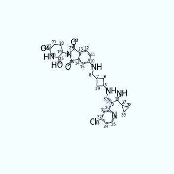 N=C(/C(=C\NC1CC(CNc2ccc3c(c2)C(=O)N(C2CCC(=O)NC2O)C3=O)C1)c1cc(Cl)ccn1)C1CC1